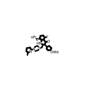 CCCOc1ccc(F)c2c(=O)c(-c3ccc(OC)cc3)c(CN3CCN(c4cccc(C)n4)CC3)[nH]c12